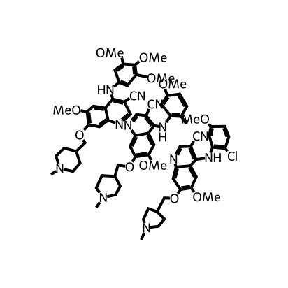 COc1cc2c(Nc3cc(OC)c(OC)c(OC)c3)c(C#N)cnc2cc1OCC1CCN(C)CC1.COc1ccc(C)c(Nc2c(C#N)cnc3cc(OCC4CCN(C)CC4)c(OC)cc23)c1.COc1ccc(Cl)c(Nc2c(C#N)cnc3cc(OCC4CCN(C)CC4)c(OC)cc23)c1